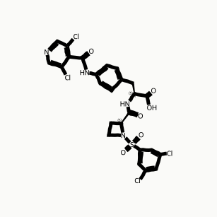 O=C(Nc1ccc(C[C@H](NC(=O)[C@@H]2CCN2S(=O)(=O)c2cc(Cl)cc(Cl)c2)C(=O)O)cc1)c1c(Cl)cncc1Cl